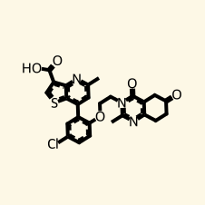 Cc1cc(-c2cc(Cl)ccc2OCCn2c(C)nc3c(c2=O)CC(=O)CC3)c2scc(C(=O)O)c2n1